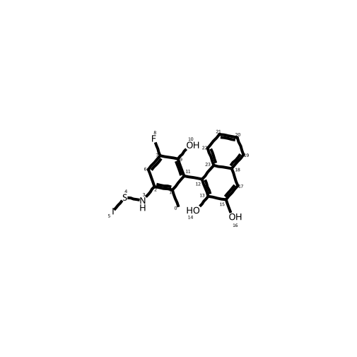 Cc1c(NSI)cc(F)c(O)c1-c1c(O)c(O)cc2ccccc12